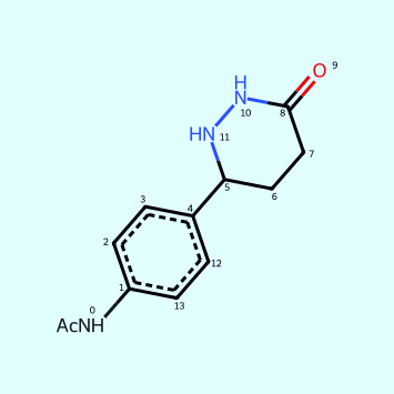 CC(=O)Nc1ccc(C2CCC(=O)NN2)cc1